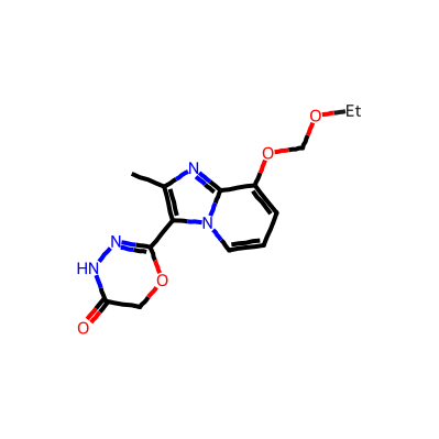 CCOCOc1cccn2c(C3=NNC(=O)CO3)c(C)nc12